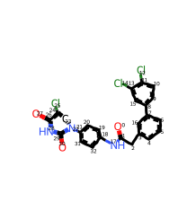 O=C(Cc1cccc(-c2ccc(Cl)c(Cl)c2)c1)Nc1ccc(-n2cc(Cl)c(=O)[nH]c2=O)cc1